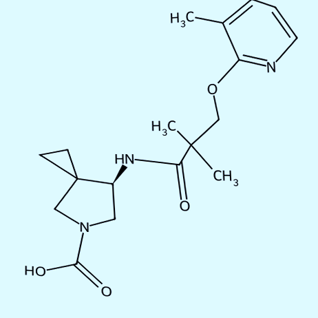 Cc1cccnc1OCC(C)(C)C(=O)N[C@H]1CN(C(=O)O)CC12CC2